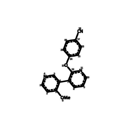 COc1ccncc1-c1cccnc1Oc1ccc(C#N)cc1